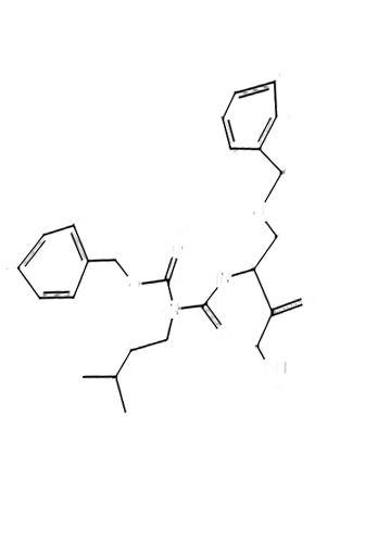 CC(C)CCN(C(=O)NC(COCc1ccccc1)C(=O)CO)C(=O)OCc1ccccc1